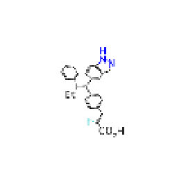 CCC(=C(c1ccc(C=C(F)C(=O)O)cc1)c1ccc2[nH]ncc2c1)c1ccccc1